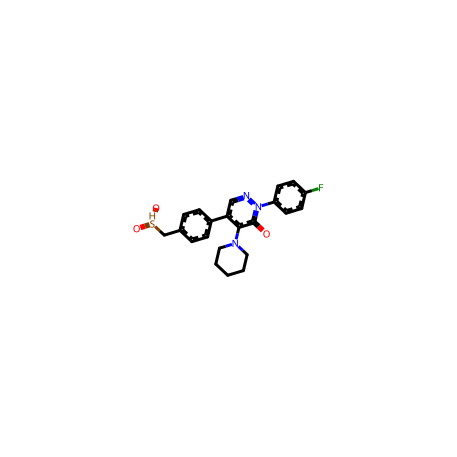 O=c1c(N2CCCCC2)c(-c2ccc(C[SH](=O)=O)cc2)cnn1-c1ccc(F)cc1